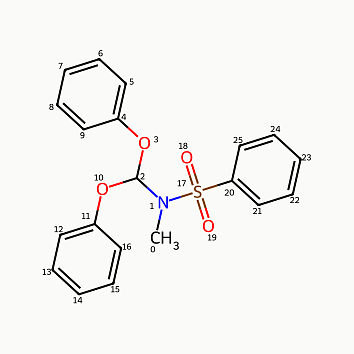 CN(C(Oc1ccccc1)Oc1ccccc1)S(=O)(=O)c1ccccc1